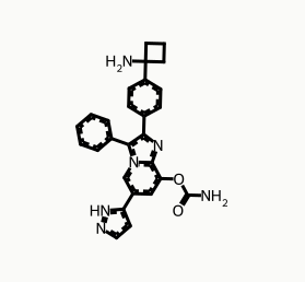 NC(=O)Oc1cc(-c2ccn[nH]2)cn2c(-c3ccccc3)c(-c3ccc(C4(N)CCC4)cc3)nc12